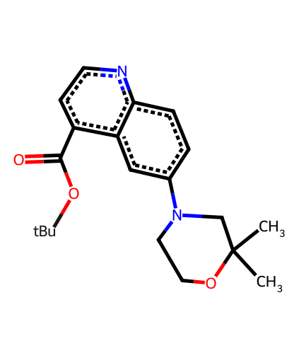 CC(C)(C)OC(=O)c1ccnc2ccc(N3CCOC(C)(C)C3)cc12